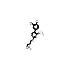 CCCCOc1ncc(-c2ccc(Cl)c(Cl)c2)c(N)n1